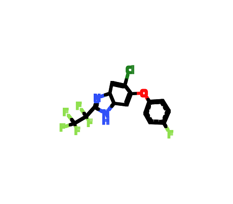 Fc1ccc(OC2=CC3NC(C(F)(F)C(F)(F)F)=NC3C=C2Cl)cc1